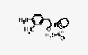 Bc1ccc(CC(=O)[C@@H]2C3CCC(N3)[C@@H]2C(C)=O)cc1C